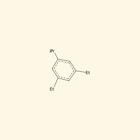 CCc1cc(CC)cc(C(C)C)c1